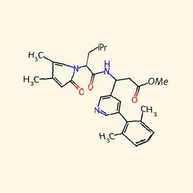 COC(=O)CC(NC(=O)C(CC(C)C)n1cc(C)c(C)cc1=O)c1cncc(-c2c(C)cccc2C)c1